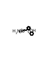 NOSOCCc1ccccc1OC1(O)CCCCC1